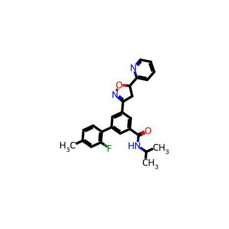 Cc1ccc(-c2cc(C(=O)NC(C)C)cc(C3=NOC(c4ccccn4)C3)c2)c(F)c1